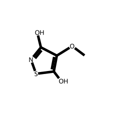 COc1c(O)nsc1O